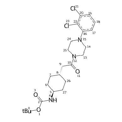 CC(C)(C)OC(=O)N[C@H]1CC[C@H](CC(=O)N2CCN(c3cccc(Cl)c3Cl)CC2)CC1